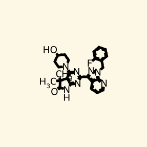 CC1(C)C(=O)Nc2nc(-c3nn(Cc4ccccc4F)c4ncccc34)nc(N3CCC(O)CC3)c21